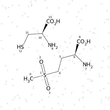 CS(=O)(=O)CC[C@H](N)C(=O)O.N[C@@H](CS)C(=O)O